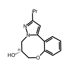 CC(C)c1cc2n(n1)C[C@@H](O)COc1ccccc1-2